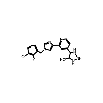 N#CC1NNNC1c1ccnc(-c2cn(Cc3cccc(Cl)c3Cl)cn2)c1